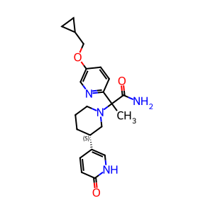 CC(C(N)=O)(c1ccc(OCC2CC2)cn1)N1CCC[C@@H](c2ccc(=O)[nH]c2)C1